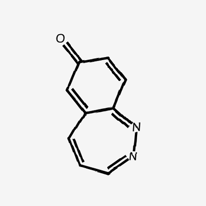 O=c1ccc2nncccc-2c1